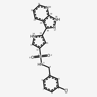 O=S(=O)(NCc1cccc(Cl)c1)c1c[nH]c(-c2n[nH]c3ncccc23)c1